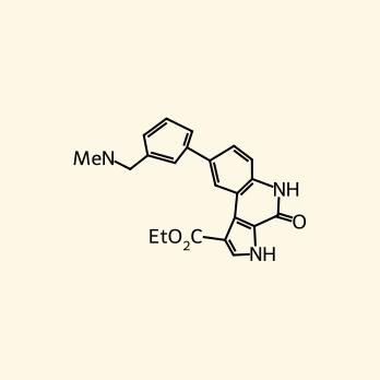 CCOC(=O)c1c[nH]c2c(=O)[nH]c3ccc(-c4cccc(CNC)c4)cc3c12